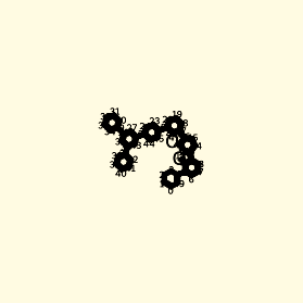 C1=CCCC(c2cccc3c2oc2c3ccc3c4cccc(-c5ccc(-c6cc(-c7ccccc7)cc(-c7ccccc7)c6)cc5)c4oc32)=C1